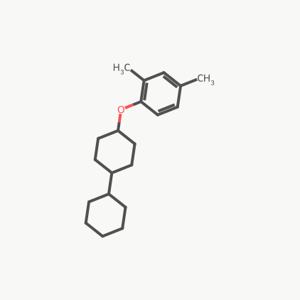 Cc1ccc(OC2CCC(C3CCCCC3)CC2)c(C)c1